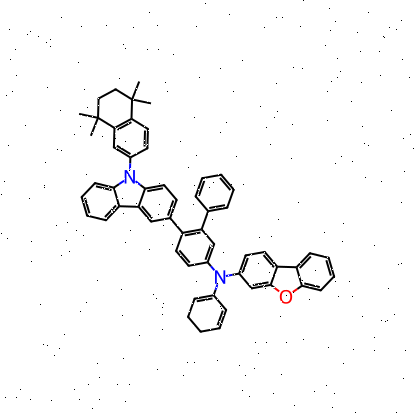 CC1(C)CCC(C)(C)c2cc(-n3c4ccccc4c4cc(-c5ccc(N(C6=CCCC=C6)c6ccc7c(c6)oc6ccccc67)cc5-c5ccccc5)ccc43)ccc21